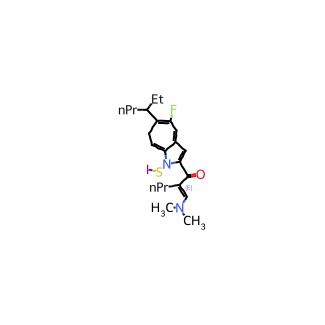 CCC/C(=C\N(C)C)C(=O)c1cc2c(n1SI)=CCC(C(CC)CCC)=C(F)C=2